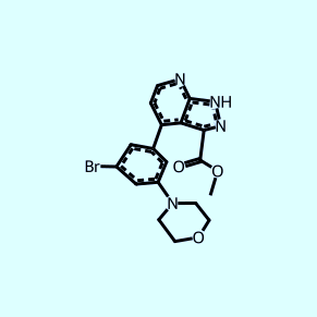 COC(=O)c1n[nH]c2nccc(-c3cc(Br)cc(N4CCOCC4)c3)c12